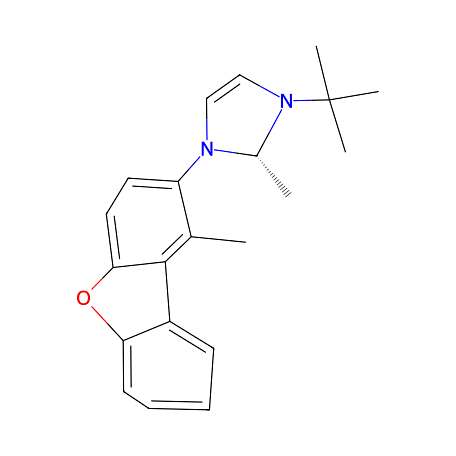 Cc1c(N2C=CN(C(C)(C)C)[C@@H]2C)ccc2oc3ccccc3c12